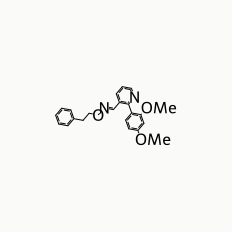 COc1ccc(-c2ncccc2C=NOCCc2ccccc2)c(OC)c1